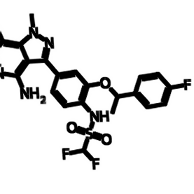 CC(Oc1cc(-c2nn(C)c3c(I)cnc(N)c23)ccc1NS(=O)(=O)C(F)F)c1ccc(F)cc1